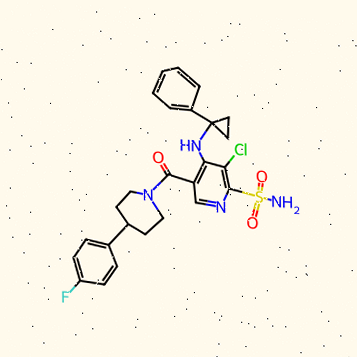 NS(=O)(=O)c1ncc(C(=O)N2CCC(c3ccc(F)cc3)CC2)c(NC2(c3ccccc3)CC2)c1Cl